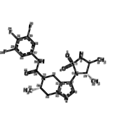 CC1NS(=O)(=O)N(c2cnn3c2CN(C(=O)Nc2cc(F)c(F)c(F)c2)[C@@H](C)C3)[C@H]1C